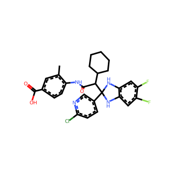 Cc1cc(C(=O)O)ccc1NC(=O)C(C1CCCCC1)C1(c2ccc(Cl)nc2)Nc2cc(F)c(F)cc2N1